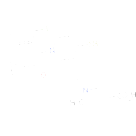 CN(C/C=C1\CN(C(C(=O)C2CC2)c2ccccc2F)CCC1S)CCC(=O)O